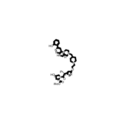 COC(=O)[C@@H]1C[C@@H](O)CN1C(=O)[C@@H](c1cc(OCCN2CCC(CN3CCN4c5cc(-c6ccccc6O)nnc5NC[C@H]4C3)CC2)no1)C(C)C